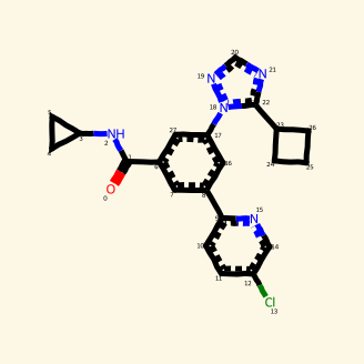 O=C(NC1CC1)c1cc(-c2ccc(Cl)cn2)cc(-n2ncnc2C2CCC2)c1